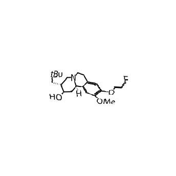 COc1cc2c(cc1OCCF)CCN1C[C@@H](CC(C)(C)C)[C@H](O)C[C@H]21